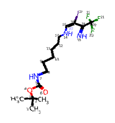 CC(C)(C)OC(=O)NCCCCCCN/C=C(/I)C(=N)C(F)(F)F